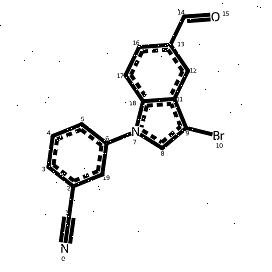 N#Cc1cccc(-n2cc(Br)c3cc(C=O)ccc32)c1